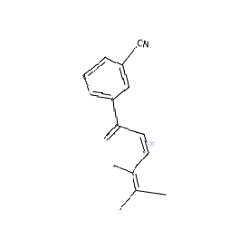 C=C(/C=C\C(C)=C(C)C)c1cccc(C#N)c1